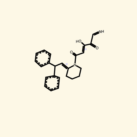 N=CC(=O)/C(O)=C/C(=O)N1CCCC/C1=C\C(c1ccccc1)c1ccccc1